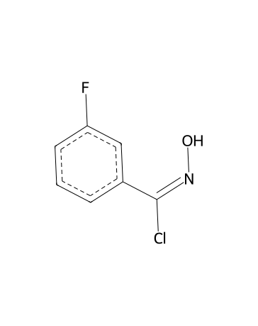 O/N=C(/Cl)c1cccc(F)c1